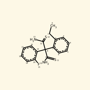 CCc1ccccc1C(C(N)=S)(C(N)=S)c1ccccc1F